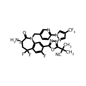 CC(C)(C#N)c1nnc(-c2cc3c(cc2F)C(F)(F)C[C@@H](N)C(=O)N3Cc2ccc(-n3cc(C(F)(F)F)cn3)nc2)o1